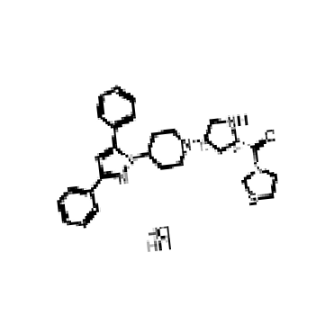 Cl.Cl.O=C([C@@H]1C[C@H](N2CCC(n3nc(-c4ccccc4)cc3-c3ccccc3)CC2)CN1)N1CCSC1